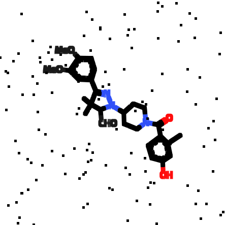 COc1ccc(C2=NN(C3CCN(C(=O)c4ccc(O)cc4C)CC3)C(C=O)C2(C)C)cc1OC